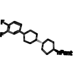 CCCCC[C@H]1CC[C@H](C2CCC(c3ccc(F)c(F)c3)CC2)CC1